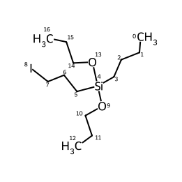 CCCC[Si](CCCI)(OCCC)OCCC